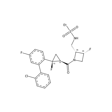 CCS(=O)(=O)NC[C@@H]1[C@H](F)CN1C(=O)[C@@H]1C[C@@]1(F)c1ccc(F)cc1-c1ccccc1Cl